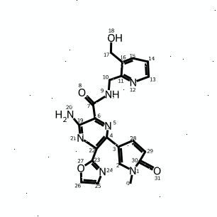 Cn1cc(-c2nc(C(=O)NCc3ncccc3CO)c(N)nc2-c2ncco2)ccc1=O